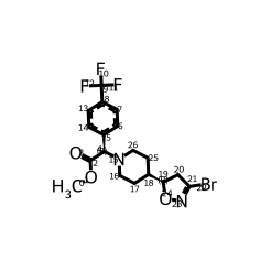 COC(=O)[C@@H](c1ccc(C(F)(F)F)cc1)N1CCC([C@H]2CC(Br)=NO2)CC1